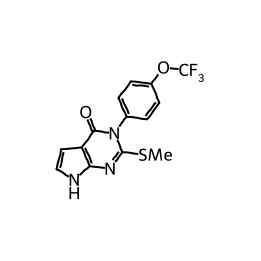 CSc1nc2[nH]ccc2c(=O)n1-c1ccc(OC(F)(F)F)cc1